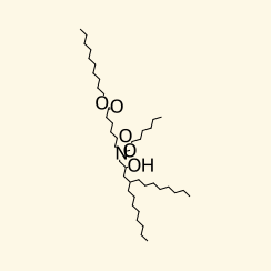 CCCCCCCCCCOC(=O)CCCCCN(CC(O)CC(CCCCCCCC)CCCCCCCC)OC(=O)CCCCC